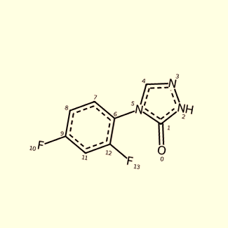 O=c1[nH]ncn1-c1ccc(F)cc1F